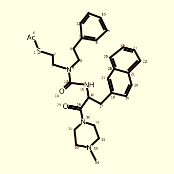 CC(=O)SCCN(CCc1ccccc1)C(=O)NC(Cc1ccc2ccccc2c1)C(=O)N1CCN(C)CC1